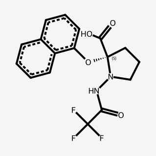 O=C(NN1CCC[C@]1(Oc1cccc2ccccc12)C(=O)O)C(F)(F)F